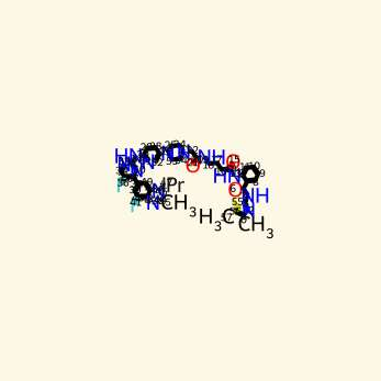 Cc1nc(NC(=O)c2ccccc2NC(=O)CCCNC(=O)CN2CCN(c3ccc(Nc4ncc(F)c(-c5cc(F)c6nc(C)n(C(C)C)c6c5)n4)nc3)CC2)sc1C